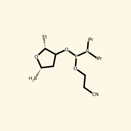 B[C@H]1CC(OP(OCCC#N)N(C(C)C)C(C)C)[C@@H](CC)O1